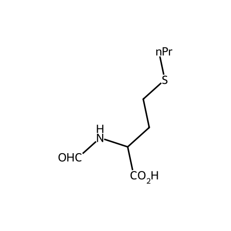 CCCSCCC(NC=O)C(=O)O